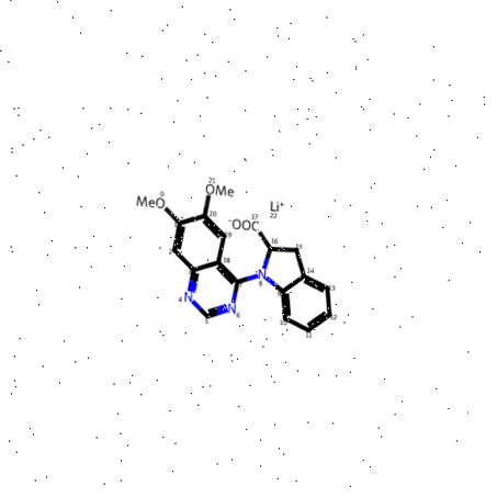 COc1cc2ncnc(N3c4ccccc4CC3C(=O)[O-])c2cc1OC.[Li+]